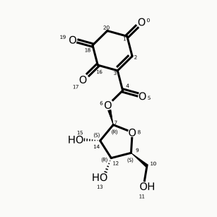 O=C1C=C(C(=O)O[C@H]2O[C@@H](CO)[C@H](O)[C@@H]2O)C(=O)C(=O)C1